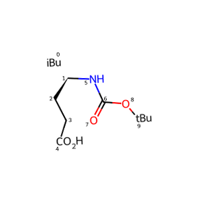 CC[C@H](C)[C@H](CCC(=O)O)NC(=O)OC(C)(C)C